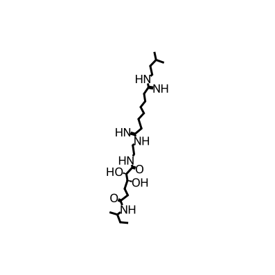 CCC(C)NC(=O)CC[C@H](O)[C@@H](O)C(=O)NCCNC(=N)CCCCCCC(=N)NCCC(C)C